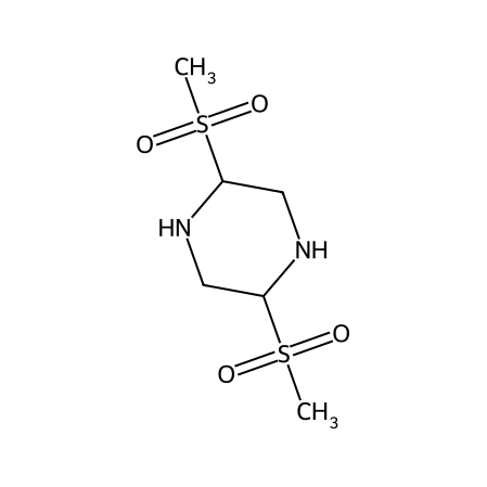 CS(=O)(=O)C1CNC(S(C)(=O)=O)CN1